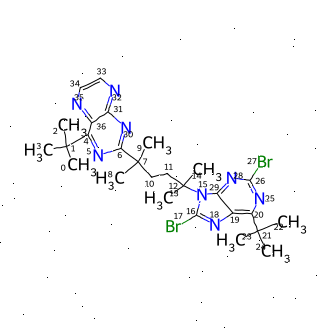 CC(C)(C)c1nc(C(C)(C)CCC(C)(C)n2c(Br)nc3c(C(C)(C)C)nc(Br)nc32)nc2nccnc12